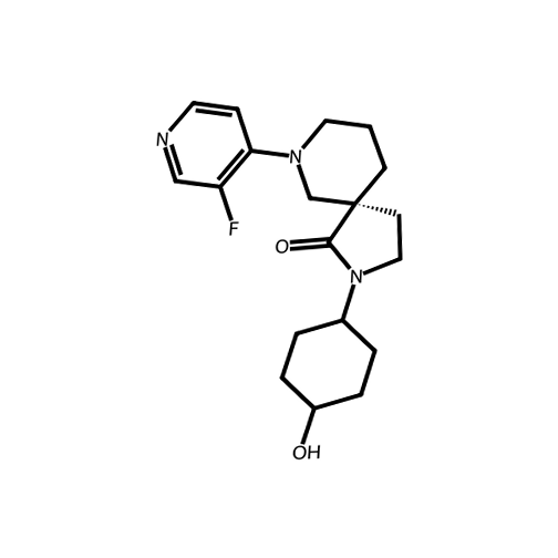 O=C1N(C2CCC(O)CC2)CC[C@]12CCCN(c1ccncc1F)C2